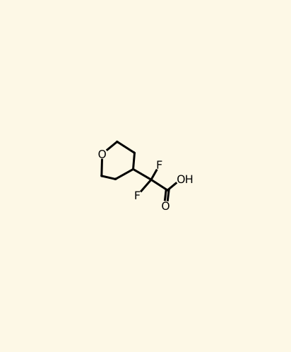 O=C(O)C(F)(F)C1CCOCC1